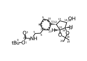 CC(C)(C)OC(=O)NCCc1cccc([C@H]2C[C@H](O)[C@@H]3OC(C)(C)O[C@@H]32)c1